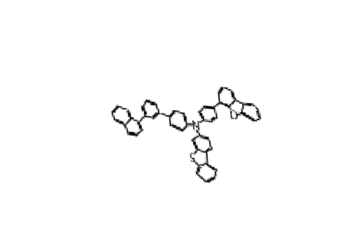 c1cc(-c2ccc(N(c3ccc(-c4cccc5c4oc4ccccc45)cc3)c3ccc4c(c3)sc3ccccc34)cc2)cc(-c2cccc3ccccc23)c1